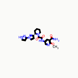 COc1ncc(NC(=O)C(=O)N2CCCC[C@H]2c2ccn(-c3cc[nH]n3)n2)cc1C(N)=O